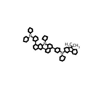 CC1(C)c2ccccc2-c2cc(N(c3ccccc3)c3ccc(-c4ccc5c6c(cccc46)-c4cc6cccc(-c7cccc(N(c8ccccc8)c8ccccc8)c7)c6cc4N5c4ccccc4)cc3)ccc21